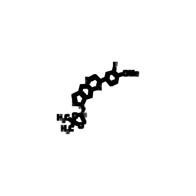 COc1ccc(-c2cnc3cc4cnn(C[C@@H]5COC(C)(C)O5)c4cc3n2)cc1F